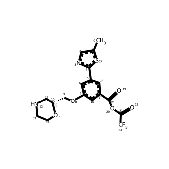 Cc1cnc(-c2cc(OC[C@H]3CNCCO3)cc(C(=O)OC(=O)C(F)(F)F)c2)s1